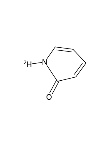 [2H]n1ccccc1=O